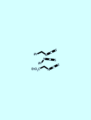 CC(C)CN=C=S.CC(C)N=C=S.CCOC(=O)CN=C=S